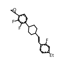 CCc1ccc(/C=C/C2CCC(c3ccc(C4CO4)c(F)c3F)CC2)c(F)c1